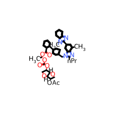 CCCc1nc2c(C)cc(-c3nc4ccccc4n3C)cc2n1Cc1ccc(-c2ccccc2C(=O)OC(C)OC(=O)O[C@@H]2CO[C@H]3[C@@H]2OC[C@H]3OC(C)=O)cc1